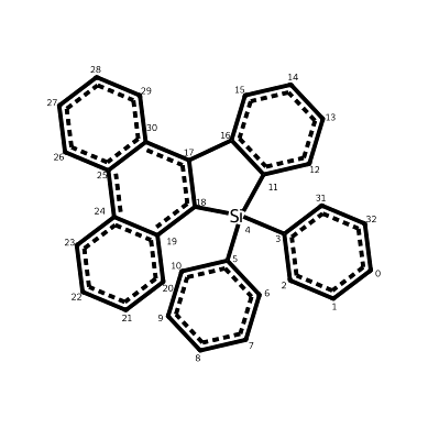 c1ccc([Si]2(c3ccccc3)c3ccccc3-c3c2c2ccccc2c2ccccc32)cc1